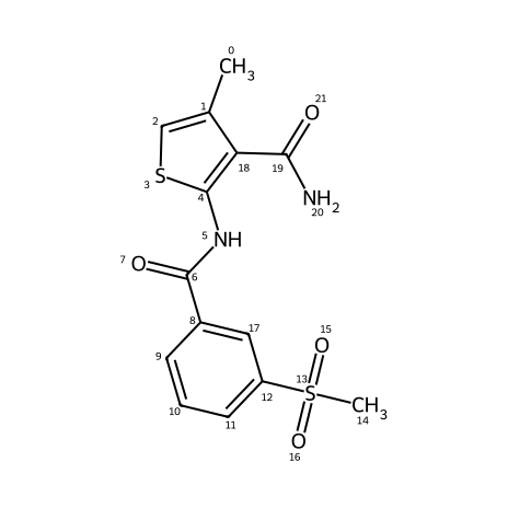 Cc1csc(NC(=O)c2cccc(S(C)(=O)=O)c2)c1C(N)=O